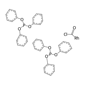 O=[C](Cl)[Rh].c1ccc(OP(Oc2ccccc2)Oc2ccccc2)cc1.c1ccc(OP(Oc2ccccc2)Oc2ccccc2)cc1